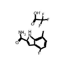 Cc1ccc(F)c2cc(C(N)=O)[nH]c12.O=C(O)C(F)(F)F